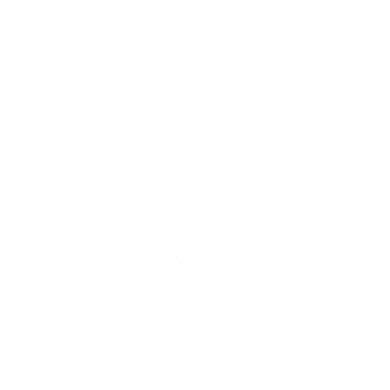 CC(CSc1ccccc1)CSc1ccccc1